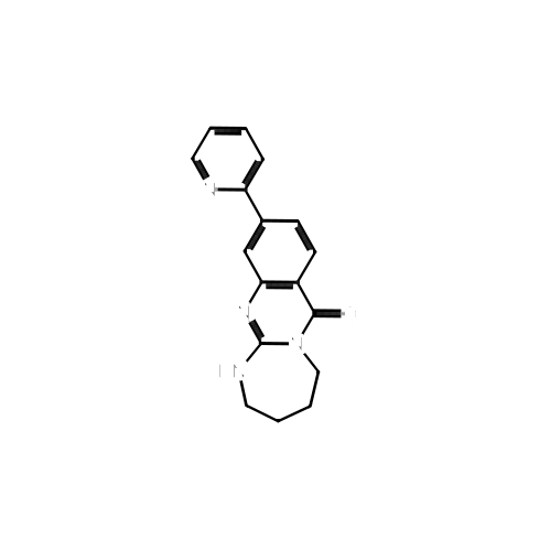 O=c1c2ccc(-c3ccccn3)cc2nc2n1CCCCN2